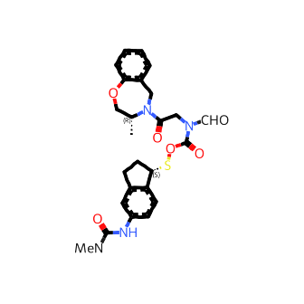 CNC(=O)Nc1ccc2c(c1)CC[C@@H]2SOC(=O)N(C=O)CC(=O)N1Cc2ccccc2OC[C@H]1C